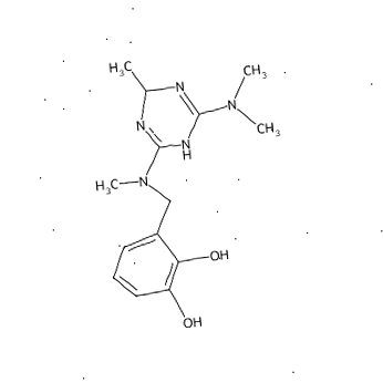 CC1N=C(N(C)C)NC(N(C)Cc2cccc(O)c2O)=N1